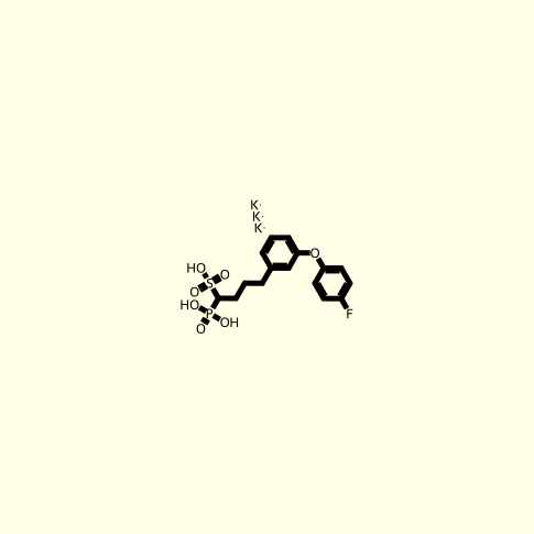 O=P(O)(O)C(CCCc1cccc(Oc2ccc(F)cc2)c1)S(=O)(=O)O.[K].[K].[K]